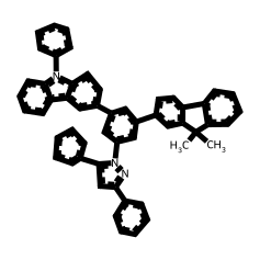 CC1(C)c2ccccc2-c2ccc(-c3cc(-c4ccc5c(c4)c4ccccc4n5-c4ccccc4)cc(-n4nc(-c5ccccc5)cc4-c4ccccc4)c3)cc21